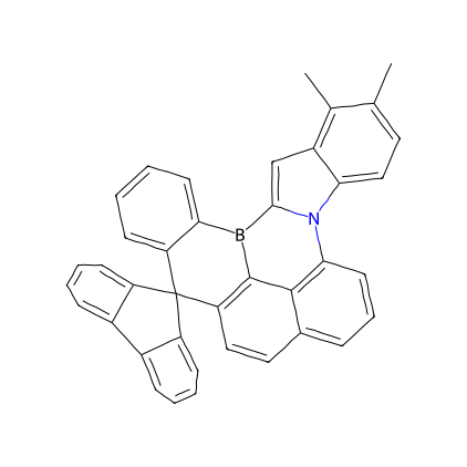 Cc1ccc2c(cc3n2-c2cccc4ccc5c(c24)B3c2ccccc2C52c3ccccc3-c3ccccc32)c1C